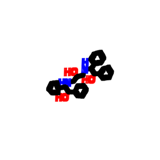 OC(CNC(c1ccccc1)C(O)c1ccccc1)CNC(c1ccccc1)C(O)c1ccccc1